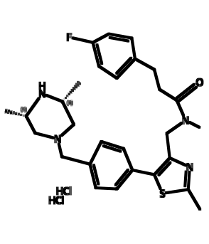 Cc1nc(CN(C)C(=O)CCc2ccc(F)cc2)c(-c2ccc(CN3C[C@@H](C)N[C@@H](C)C3)cc2)s1.Cl.Cl